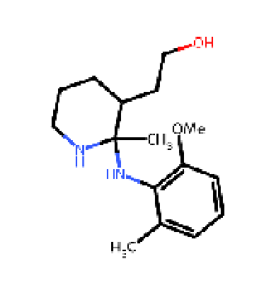 COc1cccc(C)c1NC1(C)NCCCC1CCO